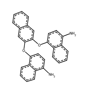 Nc1ccc(Oc2cc3ccccc3cc2Oc2ccc(N)c3ccccc23)c2ccccc12